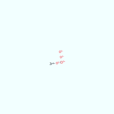 [O+2].[O-2].[O-2].[O-2].[Zr+4]